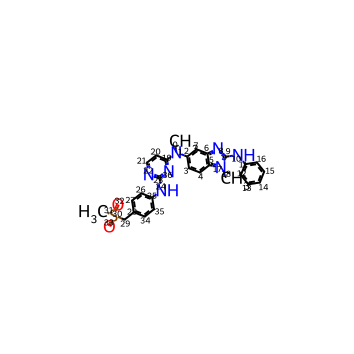 CN(c1ccc2c(c1)nc(Nc1ccccc1)n2C)c1ccnc(Nc2ccc(CS(C)(=O)=O)cc2)n1